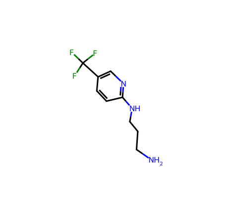 NCCCNc1ccc(C(F)(F)F)cn1